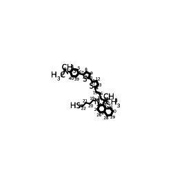 CN(C)c1ccc(-c2ccc(-c3ccc(/C=C/C4=[N+](CCCCS)c5ccc6ccccc6c5C4(C)C)s3)s2)cc1